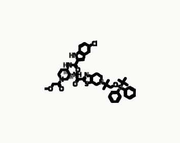 COCC(=O)N1CC[C@H](NC(=O)c2cc3cc(Cl)ccc3[nH]2)[C@H](NC(=O)c2nc3c(s2)CN(C(C)(C)CO[Si](c2ccccc2)(c2ccccc2)C(C)(C)C)CC3)C1